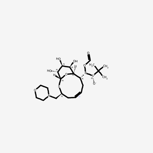 CC(C)(C)[S@+]([O-])N(OC=O)[C@@H]1C/C=C\C[C@@H](CN2CCOCC2)S[C@H]2O[C@H]1[C@H](O)[C@H](O)[C@H]2O